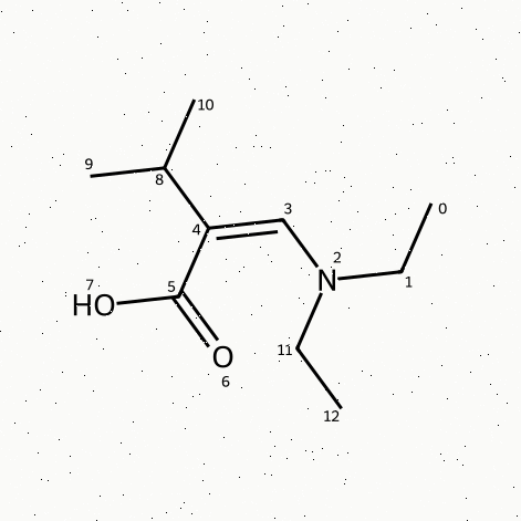 CCN(C=C(C(=O)O)C(C)C)CC